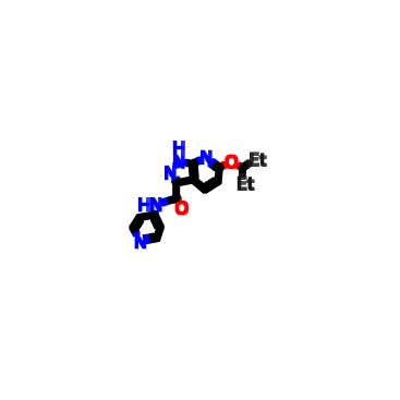 CCC(CC)Oc1ccc2c(C(=O)Nc3ccncc3)n[nH]c2n1